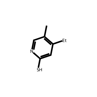 CCc1cc(S)ncc1C